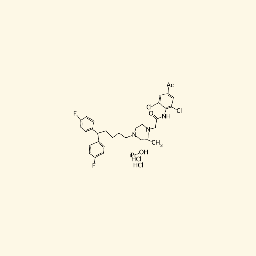 CC(=O)c1cc(Cl)c(NC(=O)CN2CCN(CCCCC(c3ccc(F)cc3)c3ccc(F)cc3)CC2C)c(Cl)c1.CC(C)O.Cl.Cl